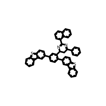 c1ccc(C2=NC(c3cccc4ccccc34)=NC(c3cc(-c4ccc5sc6ccccc6c5c4)ccc3-c3ccc4sc5ccccc5c4c3)C2)cc1